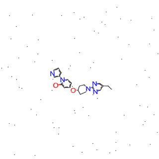 CCc1cnc(N2CCC(Oc3ccn(-c4cccnc4)c(=O)c3)CC2)nc1